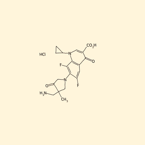 CC1(CN)CN(c2c(F)cc3c(=O)c(C(=O)O)cn(C4CC4)c3c2F)CC1=O.Cl